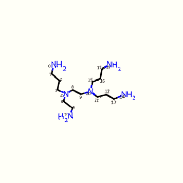 NCCCN(CCN)CCN(CCCN)CCCN